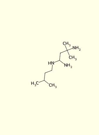 CC(C)CCNC(N)CC(C)(C)N